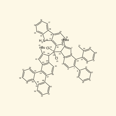 CCCCC1=Cc2c(ccc(-c3ccccc3)c2-c2ccccc2C)[CH]1[Zr]([Cl])([Cl])([c]1cccc2c1[SiH2]c1ccccc1-2)[CH]1C(CCCC)=Cc2c1ccc(-c1ccccc1)c2-c1ccccc1C